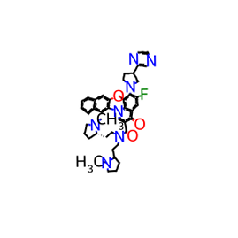 CN1CCCC1CCN(CC[C@@H]1CCCN1C)C(=O)c1cn2c3c(c(N4CCC(c5cnccn5)C4)c(F)cc3c1=O)Oc1cc3ccccc3cc1-2